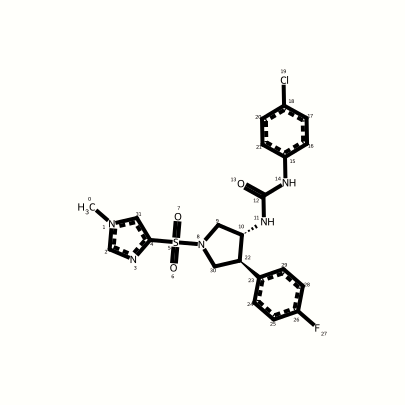 Cn1cnc(S(=O)(=O)N2C[C@H](NC(=O)Nc3ccc(Cl)cc3)[C@@H](c3ccc(F)cc3)C2)c1